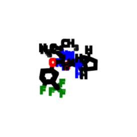 Cc1noc(N2C[C@H]3CC[C@@H](C2)[C@H]3Nc2nc(Oc3ccc(F)c(C(F)(F)F)c3)n(C(C)C)n2)n1